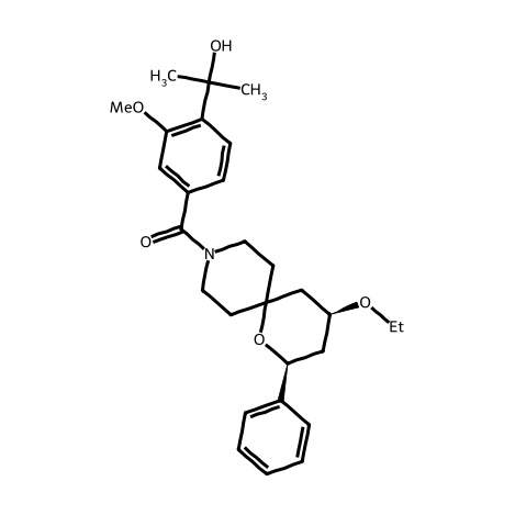 CCO[C@H]1C[C@@H](c2ccccc2)OC2(CCN(C(=O)c3ccc(C(C)(C)O)c(OC)c3)CC2)C1